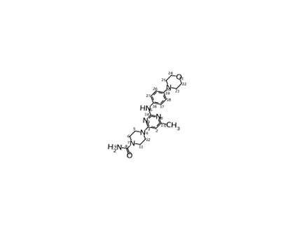 Cc1cc(N2CCN(C(N)=O)CC2)nc(Nc2ccc(N3CCOCC3)cc2)n1